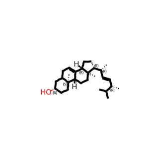 CC(C)[C@@H](C)C=C[C@@H](C)[C@H]1CC[C@H]2C3=CCC4C[C@@H](O)CC[C@]4(C)[C@H]3CC[C@]12C